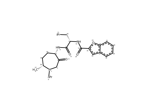 CCCN1CC(=O)[C@@H](NC(=O)[C@H](CC(C)C)NC(=O)c2cc3ccccc3o2)CC[C@H]1C